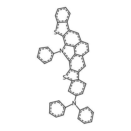 c1ccc(N(c2ccccc2)c2ccc3c(c2)sc2c3cc3ccc4cc5c6ccccc6sc5c5c4c3c2n5-c2ccccc2)cc1